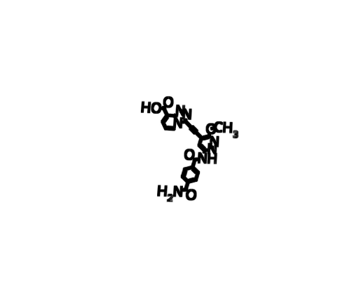 COc1nnc(NC(=O)c2ccc(C(N)=O)cc2)cc1C#Cc1nnc2c(C(=O)O)cccn12